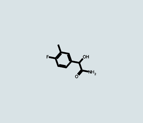 Cc1cc(C(O)C(N)=O)ccc1F